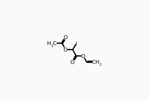 C=COC(=O)C(I)OC(C)=O